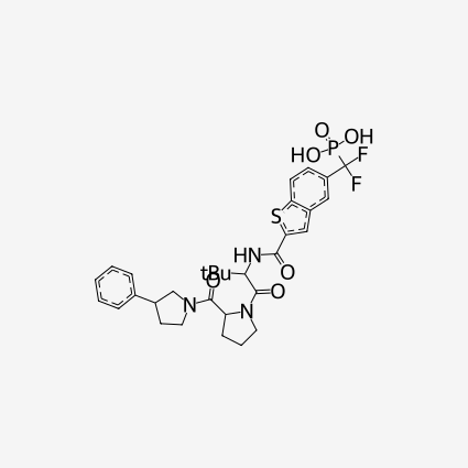 CC(C)(C)C(NC(=O)c1cc2cc(C(F)(F)P(=O)(O)O)ccc2s1)C(=O)N1CCCC1C(=O)N1CCC(c2ccccc2)C1